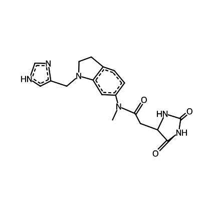 CN(C(=O)CC1NC(=O)NC1=O)c1ccc2c(c1)N(Cc1c[nH]cn1)CC2